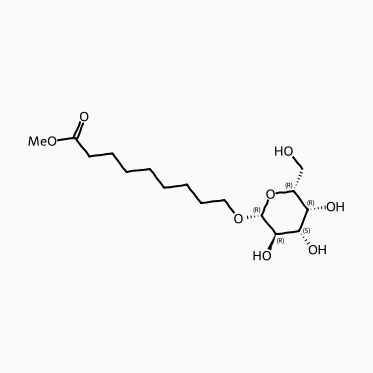 COC(=O)CCCCCCCCO[C@@H]1O[C@H](CO)[C@H](O)[C@H](O)[C@H]1O